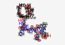 C=C1C[C@@H]2CC[C@@]34C[C@H]5OC6C(O[C@H]7CC[C@H](CC(=O)C[C@@H]8[C@@H](OC)[C@@H](C[C@H](O)CNC(=O)CNC(=O)[C@H](Cc9ccccc9)NC(=O)CNC(=O)CNC(=O)C(CCC(=O)N[C@H]9CCc%10c(C)c(F)cc%11nc%12c(c9c%10%11)Cn9c-%12cc%10c(c9=O)COC(=O)[C@]%10(O)CC)NC(=O)CCCCCN9C(=O)C=CC9=O)O[C@H]8C[C@H]8O[C@H](CCC8=C)CC[C@@H]1O2)O[C@@H]7[C@@H]6O3)[C@H]5O4